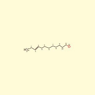 CCC=CCCCCCCCC[O]